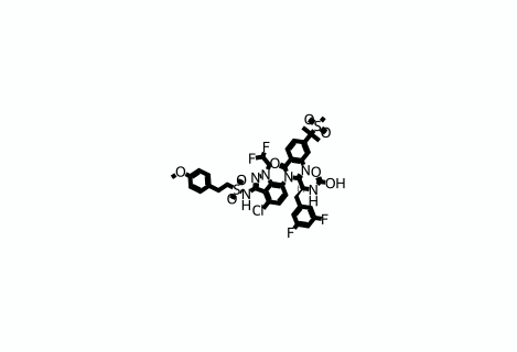 COc1ccc(CCS(=O)(=O)Nc2nn(CC(F)F)c3c(-n4c([C@H](Cc5cc(F)cc(F)c5)NC(=O)O)nc5cc(C(C)(C)S(C)(=O)=O)ccc5c4=O)ccc(Cl)c23)cc1